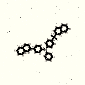 CC(C)(c1ccc(N(c2ccccc2)c2ccc(-c3ccc4ccccc4c3)cc2)cc1)c1ccc2ccccc2c1